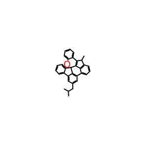 CC(C)Cc1cc2c3c(c1)-c1cccc4c1C1=C(c5ccccc5OC13c1ccccc1-2)C4C